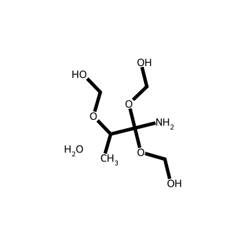 CC(OCO)C(N)(OCO)OCO.O